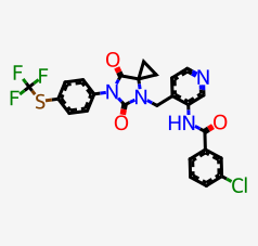 O=C(Nc1cnccc1CN1C(=O)N(c2ccc(SC(F)(F)F)cc2)C(=O)C12CC2)c1cccc(Cl)c1